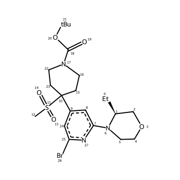 CC[C@H]1COCCN1c1cc(C2(S(C)(=O)=O)CCN(C(=O)OC(C)(C)C)CC2)cc(Br)n1